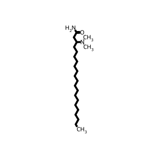 CCCCCCCCCCCCCCCCCCC(CC(N)=O)N(C)C